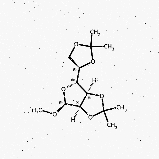 CO[C@H]1O[C@H]([C@H]2COC(C)(C)O2)[C@H]2OC(C)(C)O[C@@H]12